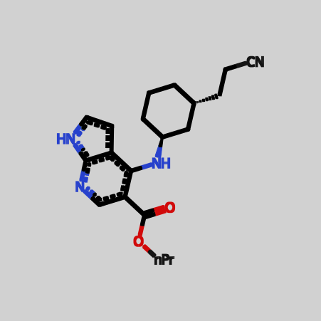 CCCOC(=O)c1cnc2[nH]ccc2c1N[C@H]1CCC[C@H](CCC#N)C1